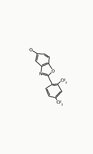 [O]c1ccc2oc(-c3ccc(C(F)(F)F)cc3C(F)(F)F)nc2c1